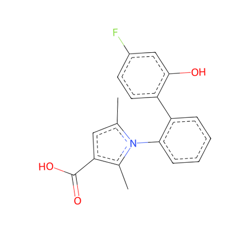 Cc1cc(C(=O)O)c(C)n1-c1ccccc1-c1ccc(F)cc1O